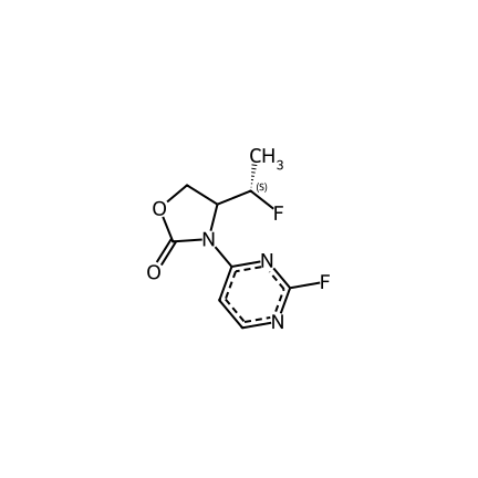 C[C@H](F)C1COC(=O)N1c1ccnc(F)n1